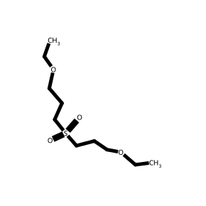 CCOCCCS(=O)(=O)CCCOCC